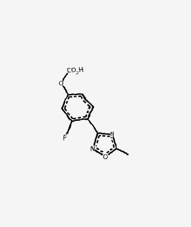 Cc1nc(-c2ccc(OC(=O)O)cc2F)no1